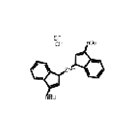 CCCCC1=C[CH]([Zr+2][CH]2C=C(CCCC)c3ccccc32)c2ccccc21.[Cl-].[Cl-]